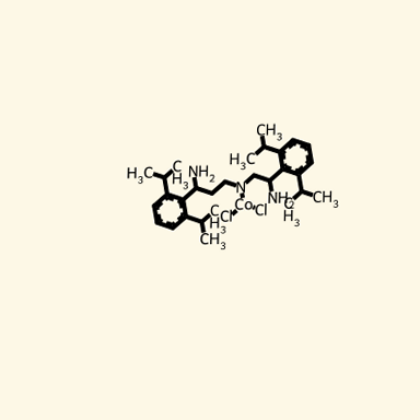 CC(C)c1cccc(C(C)C)c1C(N)CC[N](CC(N)c1c(C(C)C)cccc1C(C)C)[Co]([Cl])[Cl]